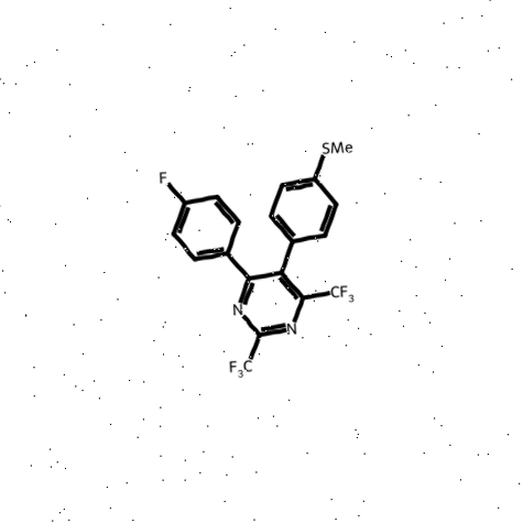 CSc1ccc(-c2c(-c3ccc(F)cc3)nc(C(F)(F)F)nc2C(F)(F)F)cc1